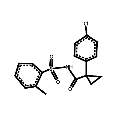 Cc1ccccc1S(=O)(=O)NC(=O)C1(c2ccc(Cl)cc2)CC1